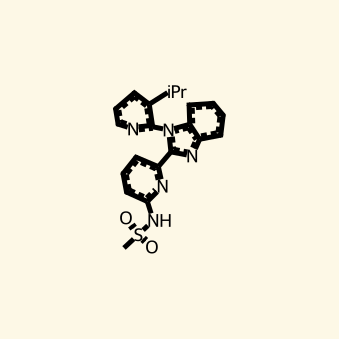 CC(C)c1cccnc1-n1c(-c2cccc(NS(C)(=O)=O)n2)nc2ccccc21